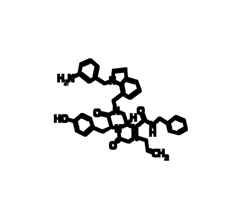 C=CCN1CC(=O)N2[C@@H](Cc3ccc(O)cc3)C(=O)N(Cc3cccc4ccn(Cc5cccc(N)c5)c34)C[C@@H]2N1C(=O)NCc1ccccc1